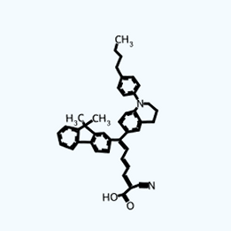 CCCCc1ccc(N2CCCc3cc(/C(=C/C=C/C=C(\C#N)C(=O)O)c4ccc5c(c4)C(C)(C)c4ccccc4-5)ccc32)cc1